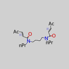 CCCN(CCCCN(CCC)C(=O)/C=C/C(C)=O)C(=O)/C=C/C(C)=O